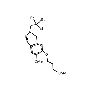 CCC(CC)(CC)CC1Cc2cc(OCCCOC)c(OC)cc2C=N1